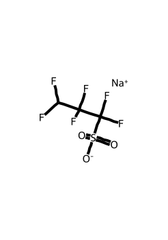 O=S(=O)([O-])C(F)(F)C(F)(F)C(F)F.[Na+]